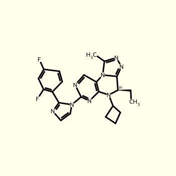 CC[C@@H]1c2nnc(C)n2-c2cnc(-n3ccnc3-c3ccc(F)cc3F)nc2N1C1CCC1